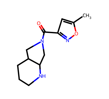 Cc1cc(C(=O)N2CC3CCCNC3C2)no1